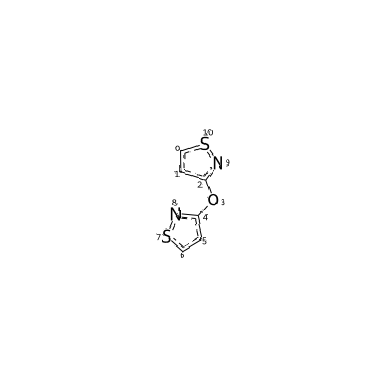 c1cc(Oc2ccsn2)ns1